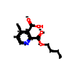 CCCCOC(=O)c1nccc(C)c1C(=O)O